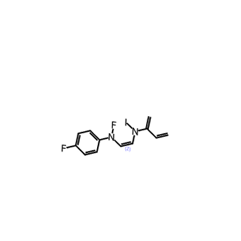 C=CC(=C)N(I)/C=C\N(F)c1ccc(F)cc1